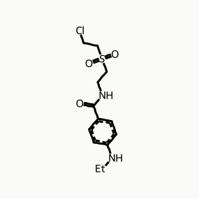 CCNc1ccc(C(=O)NCCS(=O)(=O)CCCl)cc1